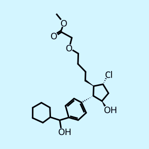 COC(=O)COCCCC[C@@H]1[C@@H](c2ccc(C(O)C3CCCCC3)cc2)[C@H](O)C[C@H]1Cl